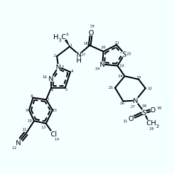 C[C@H](Cn1ccc(-c2ccc(C#N)c(Cl)c2)n1)NC(=O)c1csc(C2CCN(S(C)(=O)=O)CC2)n1